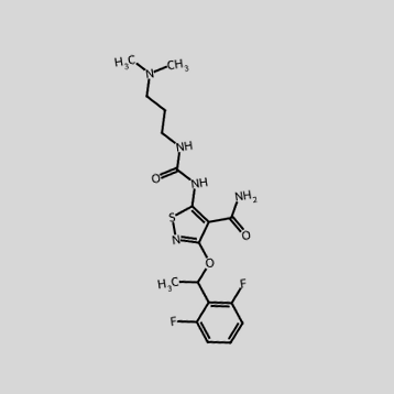 CC(Oc1nsc(NC(=O)NCCCN(C)C)c1C(N)=O)c1c(F)cccc1F